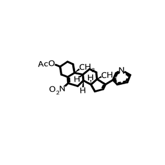 CC(=O)OC1CC[C@@]2(C)C(=C([N+](=O)[O-])C[C@@H]3[C@H]2CC[C@]2(C)C(c4cccnc4)=CC[C@@H]32)C1